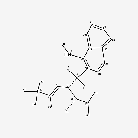 CNc1c(C(C)(C)[C@@H](/C=C(\C)C(C)(C)C)[C@@H](C)C(C)C)ccc2ccccc12